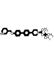 CC(C)(C)OC(=O)N1CCC(c2ccc(-c3ccc(OCC4CCCNC4)cc3)cc2)CC1